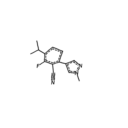 CC(C)c1ccc(-c2cnn(C)c2)c(C#N)c1F